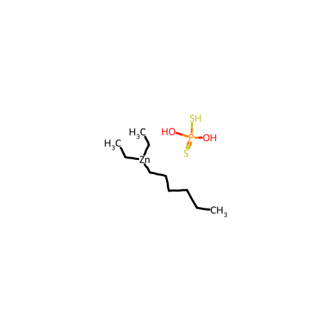 CCCCC[CH2][Zn]([CH2]C)[CH2]C.OP(O)(=S)S